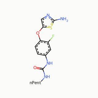 CCCCCNC(=O)Nc1ccc(Oc2cnc(N)s2)c(F)c1